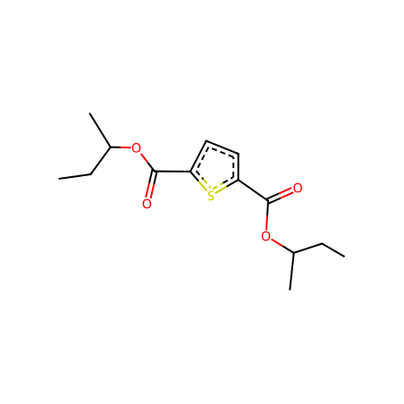 CCC(C)OC(=O)c1ccc(C(=O)OC(C)CC)s1